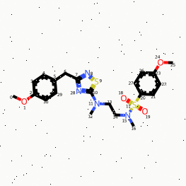 COc1ccc(Cc2nsc(N(C)CCN(C)S(=O)(=O)c3ccc(OC)cc3)n2)cc1